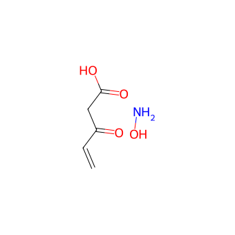 C=CC(=O)CC(=O)O.NO